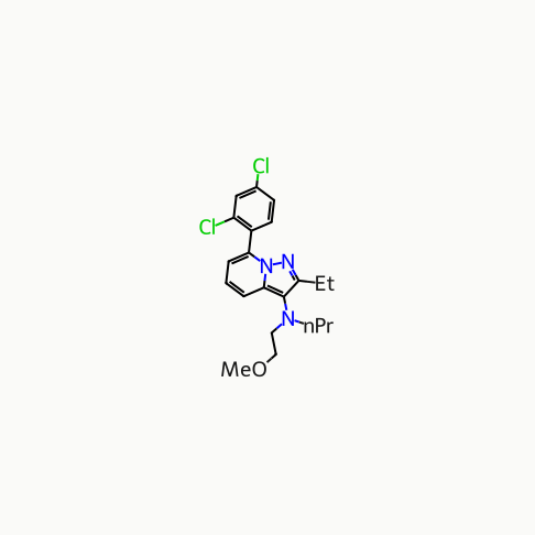 CCCN(CCOC)c1c(CC)nn2c(-c3ccc(Cl)cc3Cl)cccc12